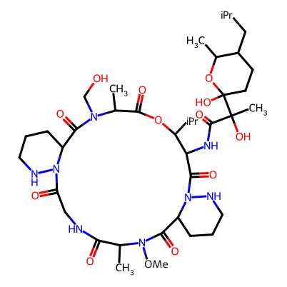 CON1C(=O)C2CCCNN2C(=O)C(NC(=O)C(C)(O)C2(O)CCC(CC(C)C)C(C)O2)C(C(C)C)OC(=O)C(C)N(CO)C(=O)C2CCCNN2C(=O)CNC(=O)C1C